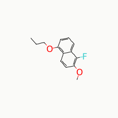 CCCOc1cccc2c(F)c(OC)ccc12